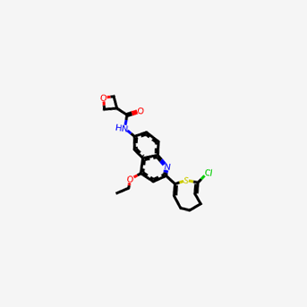 CCOc1cc(/C2=C/CCC/C=C(\Cl)S2)nc2ccc(NC(=O)C3COC3)cc12